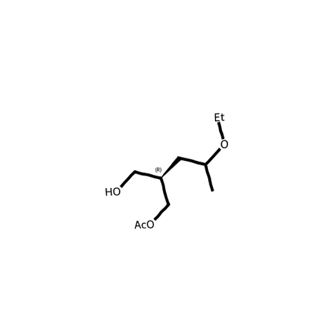 CCOC(C)C[C@H](CO)COC(C)=O